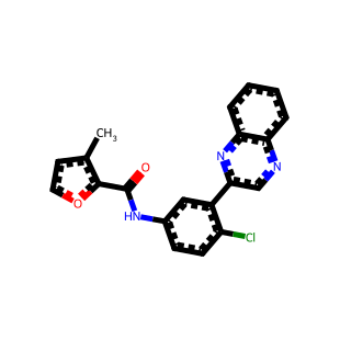 Cc1ccoc1C(=O)Nc1ccc(Cl)c(-c2cnc3ccccc3n2)c1